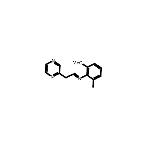 COc1cccc(C)c1N=CCc1cnccn1